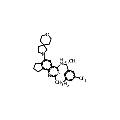 Cc1nc(N[C@H](C)c2cc(N)cc(C(F)(F)F)c2)c2cc(N3CCC4(CCOCC4)C3)c3c(c2n1)CCC3